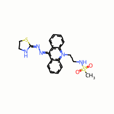 CS(=O)(=O)NCCn1c2ccccc2c(=NN=C2NCCS2)c2ccccc21